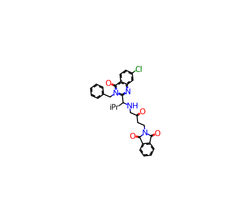 CC(C)C(NCC(=O)CCN1C(=O)c2ccccc2C1=O)c1nc2cc(Cl)ccc2c(=O)n1Cc1ccccc1